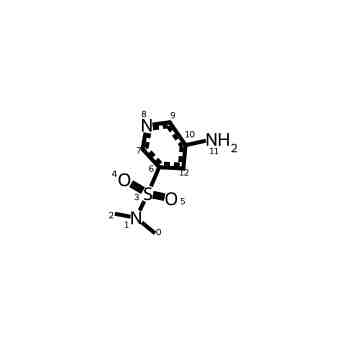 CN(C)S(=O)(=O)c1cncc(N)c1